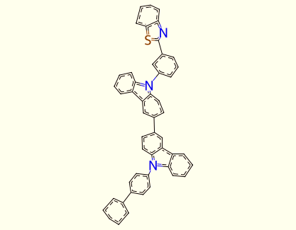 c1ccc(-c2ccc(-n3c4ccccc4c4cc(-c5ccc6c(c5)c5ccccc5n6-c5cccc(-c6nc7ccccc7s6)c5)ccc43)cc2)cc1